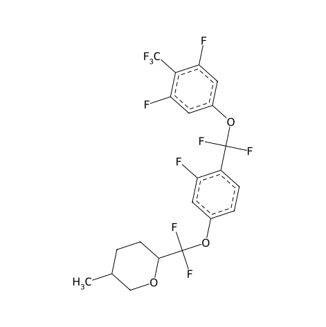 CC1CCC(C(F)(F)Oc2ccc(C(F)(F)Oc3cc(F)c(C(F)(F)F)c(F)c3)c(F)c2)OC1